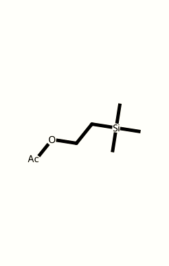 CC(=O)OCC[Si](C)(C)C